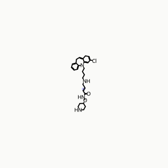 O=C(/C=C/CNCCCCN1C2=CC(Cl)=CCC2=CCc2ccccc21)NOC1CCNCC1